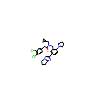 O=C(Cc1ccc(Cl)c(Cl)c1)N(Cc1cc(-c2cn3c(n2)CCC3)ccc1N1CCCC1)CC1CC1